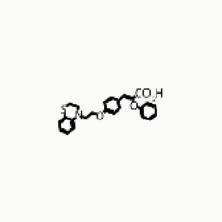 O=C(O)C(=Cc1ccc(OCCN2CCSc3ccccc32)cc1)Oc1ccccc1